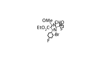 CCOC(=O)C1=C(COC)N(C=O)C(c2nccs2)=NC1c1ccc(F)cc1Br